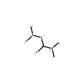 CN(F)SC(F)N(C)C